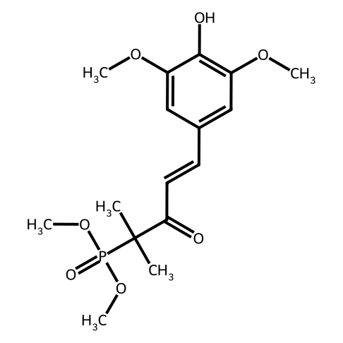 COc1cc(C=CC(=O)C(C)(C)P(=O)(OC)OC)cc(OC)c1O